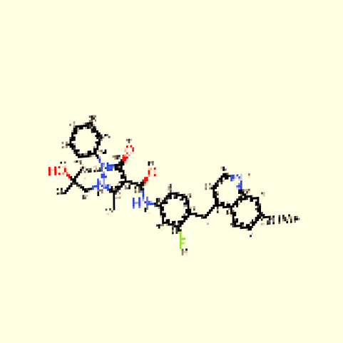 COc1ccc2c(Cc3ccc(NC(=O)c4c(C)n(CC(C)(C)O)n(-c5ccccc5)c4=O)cc3F)ccnc2c1